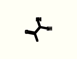 CC(=O)C(S)S